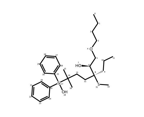 CCCCOC[C@H](O)[C@](CCC)(CCC(C)(C)[Si](O)(c1ccccc1)c1ccccc1)SC